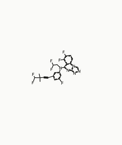 CC(C)(C#Cc1cc(F)cc(N(CC(F)F)c2nc3nncn3c3ccc(F)c(F)c23)c1)C(F)F